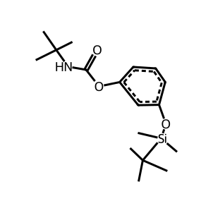 CC(C)(C)NC(=O)Oc1cccc(O[Si](C)(C)C(C)(C)C)c1